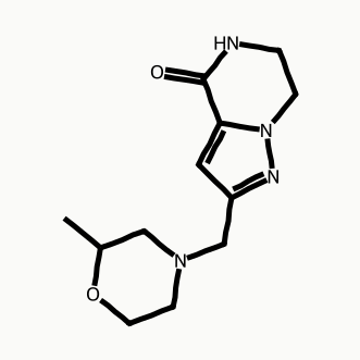 CC1CN(Cc2cc3n(n2)CCNC3=O)CCO1